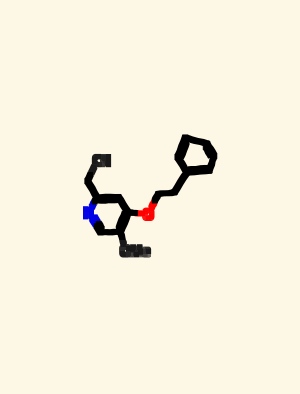 COc1cnc(CC#N)cc1OCCc1ccccc1